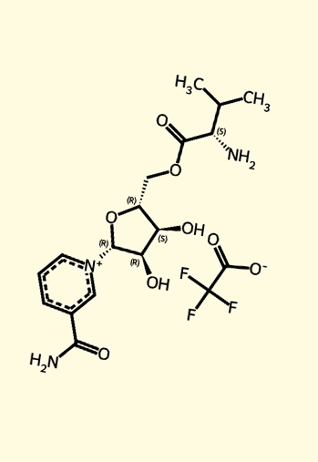 CC(C)[C@H](N)C(=O)OC[C@H]1O[C@@H]([n+]2cccc(C(N)=O)c2)[C@H](O)[C@@H]1O.O=C([O-])C(F)(F)F